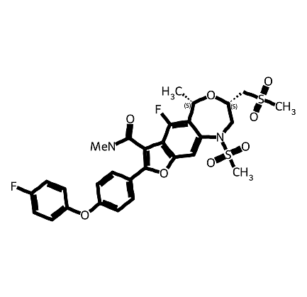 CNC(=O)c1c(-c2ccc(Oc3ccc(F)cc3)cc2)oc2cc3c(c(F)c12)[C@H](C)O[C@H](CS(C)(=O)=O)CN3S(C)(=O)=O